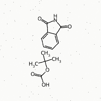 CC(C)(C)OC(=O)O.O=C1NC(=O)c2ccccc21